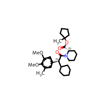 COc1cc([C@@H](C(=O)N2CCCC[C@H]2C(=O)OC2(C)CCCC2)C2CCCCC2)cc(C)c1OC